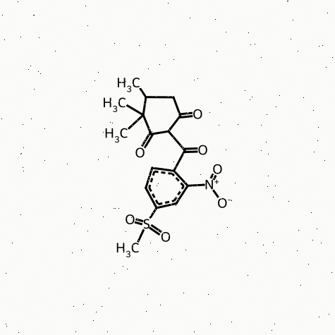 CC1CC(=O)C(C(=O)c2ccc(S(C)(=O)=O)cc2[N+](=O)[O-])C(=O)C1(C)C